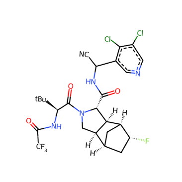 CC(C)(C)[C@H](NC(=O)C(F)(F)F)C(=O)N1C[C@@H]2[C@H]3C[C@@H]([C@@H]2[C@H]1C(=O)NC(C#N)c1cncc(Cl)c1Cl)[C@H](F)C3